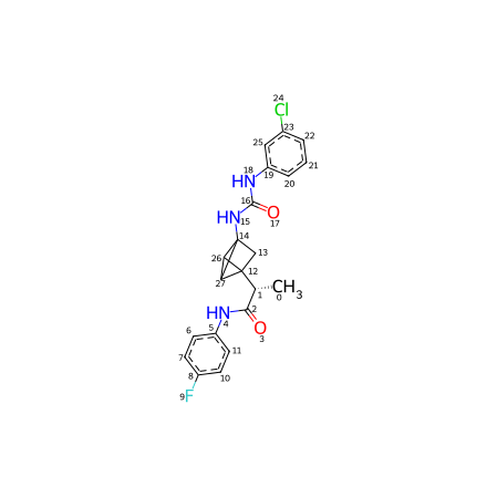 C[C@H](C(=O)Nc1ccc(F)cc1)C12CC3(NC(=O)Nc4cccc(Cl)c4)C1C32